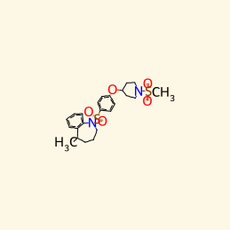 CC1CCCN(S(=O)(=O)c2ccc(OC3CCN(S(C)(=O)=O)CC3)cc2)c2ccccc21